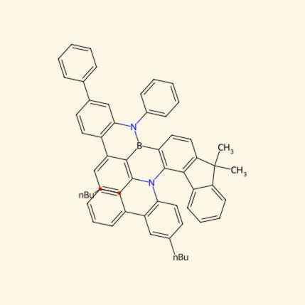 CCCCc1ccc(N2c3cc(CCCC)cc4c3B(c3ccc5c(c32)-c2ccccc2C5(C)C)N(c2ccccc2)c2cc(-c3ccccc3)ccc2-4)c(-c2ccccc2)c1